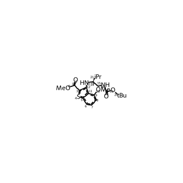 COC(=O)c1sc2cccc(OC)c2c1N[C@H](CNC(=O)OC(C)(C)C)C(C)C